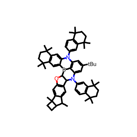 CC1c2cc3c(cc2C2(C)CCC12)OC1B2c4cc5c(cc4N(c4ccc6c(c4)C(C)(C)CCC6(C)C)c4cc(C(C)(C)C)cc(c42)N(c2ccc4c(c2)C(C)(C)CCC4(C)C)C31)C(C)(C)CCC5(C)C